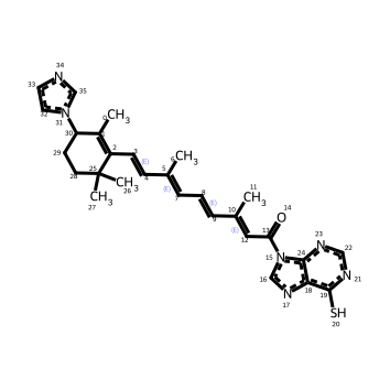 CC1=C(/C=C/C(C)=C/C=C/C(C)=C/C(=O)n2cnc3c(S)ncnc32)C(C)(C)CCC1n1ccnc1